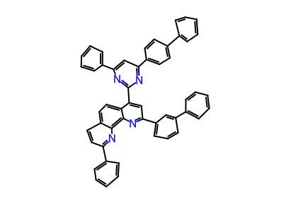 c1ccc(-c2ccc(-c3cc(-c4ccccc4)nc(-c4cc(-c5cccc(-c6ccccc6)c5)nc5c4ccc4ccc(-c6ccccc6)nc45)n3)cc2)cc1